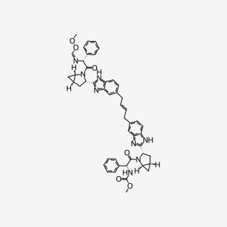 COO/C=N\[C@@H](C(=O)N1[C@H](c2nc3cc(C/C=C/Cc4ccc5[nH]c([C@@H]6C[C@@H]7C[C@@H]7N6C(=O)[C@H](NC(=O)OC)c6ccccc6)nc5c4)ccc3[nH]2)C[C@@H]2C[C@@H]21)c1ccccc1